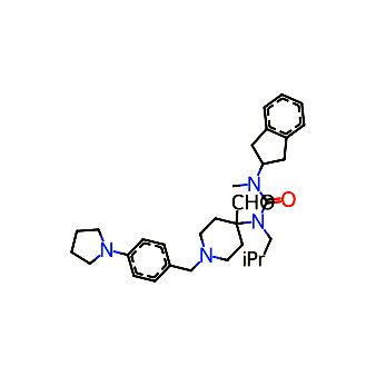 CC(C)CN(C(=O)N(C)C1Cc2ccccc2C1)C1(C=O)CCN(Cc2ccc(N3CCCC3)cc2)CC1